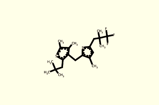 Cc1cc(CC(C)(C)C(F)(F)F)sc1Cc1c(CC(C)(C)C)sc(C)c1C